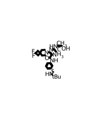 CC(C)(C)NSc1cccc(NC(=O)c2ncc(NC(C)(C)CO)nc2N2CCC3(CC2)CC(F)(F)C3)c1